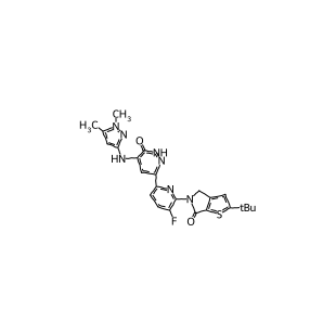 Cc1cc(Nc2cc(-c3ccc(F)c(N4Cc5cc(C(C)(C)C)sc5C4=O)n3)n[nH]c2=O)nn1C